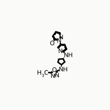 Cc1nnc(N[C@H]2CC[C@H](Nc3ccc(-n4ncccc4=O)cn3)C2)o1